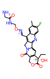 CC[C@@]1(O)C(=O)OCc2c1cc1n(c2=O)Cc2c-1nc1cc(F)c(C)cc1c2/C=N/OCNC(=O)CN